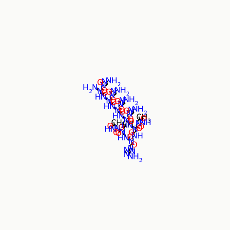 CCC(=O)CN(CCNC(=O)CN(CCNC(=O)CN(CCNC(=O)CN(CCNC(=O)CN(CCNC(=O)CN(CCNC(=O)CN(CCN)C(=O)Cn1ccc(N)nc1=O)C(=O)Cn1ccc(N)nc1=O)C(=O)Cn1ccc(N)nc1=O)C(=O)Cn1ccc(N)nc1=O)C(=O)Cn1cc(C)c(=O)[nH]c1=O)C(=O)Cn1cnc2c(N)ncnc21)C(=O)Cn1cc(C)c(=O)[nH]c1=O